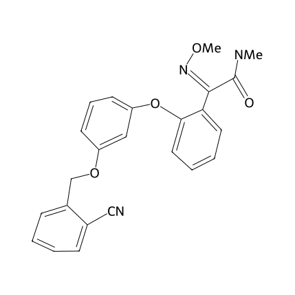 CNC(=O)C(=NOC)c1ccccc1Oc1cccc(OCc2ccccc2C#N)c1